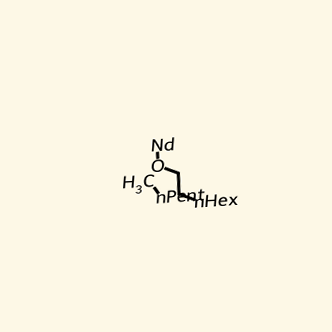 CCCCCC.CCCCCCCC[O][Nd]